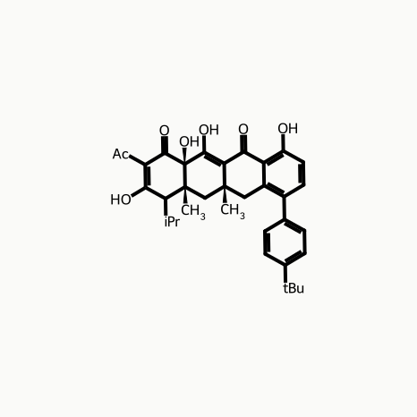 CC(=O)C1=C(O)C(C(C)C)[C@@]2(C)C[C@@]3(C)Cc4c(-c5ccc(C(C)(C)C)cc5)ccc(O)c4C(=O)C3=C(O)[C@@]2(O)C1=O